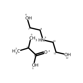 CC(C)C(=O)O.OCCNCCO